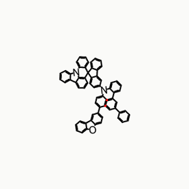 c1ccc(-c2cccc(-c3ccccc3N(c3ccc(-c4ccc5oc6ccccc6c5c4)cc3)c3ccc4c(c3)-c3ccccc3C43c4ccccc4-n4c5ccccc5c5cccc3c54)c2)cc1